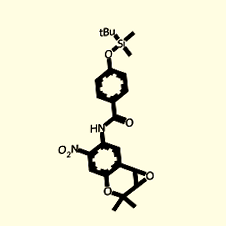 CC1(C)Oc2cc([N+](=O)[O-])c(NC(=O)c3ccc(O[Si](C)(C)C(C)(C)C)cc3)cc2C2OC21